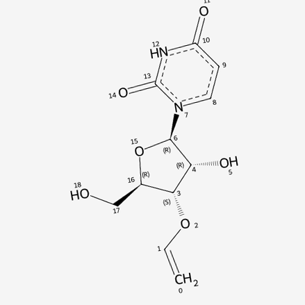 C=CO[C@H]1[C@@H](O)[C@H](n2ccc(=O)[nH]c2=O)O[C@@H]1CO